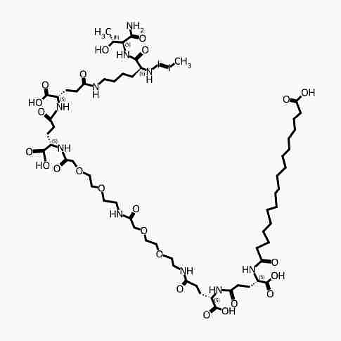 CI=IN[C@@H](CCCCNC(=O)CC[C@H](NC(=O)CC[C@H](NC(=O)COCCOCCNC(=O)COCCOCCNC(=O)CC[C@H](NC(=O)CC[C@H](NC(=O)CCCCCCCCCCCCCCCCC(=O)O)C(=O)O)C(=O)O)C(=O)O)C(=O)O)C(=O)N[C@H](C(N)=O)[C@@H](C)O